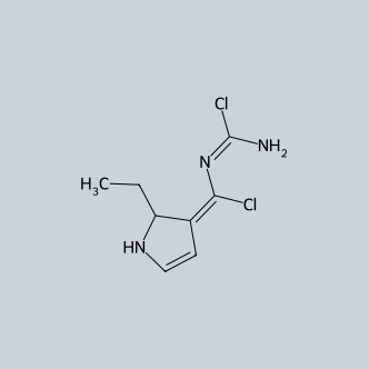 CCC1NC=C/C1=C(Cl)/N=C(\N)Cl